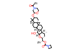 CC(C)C(=O)N1CCO[C@@H](OC2CC[C@]34C[C@]35CC[C@]3(C)[C@@H]6[C@H](O[C@@H]([C@H](OC(=O)N7CCC7)C(C)C)C[C@H]6C)[C@H](O)[C@@]3(C)[C@@H]5CC[C@H]4C2(C)C)C1